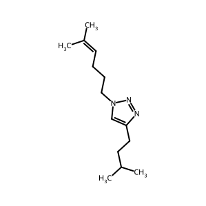 CC(C)=CCCCn1cc(CCC(C)C)nn1